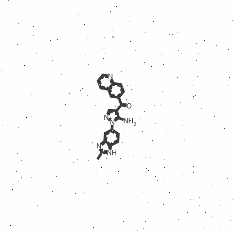 Cc1nc2cc(-n3ncc(C(=O)c4ccc5ncccc5c4)c3N)ccc2[nH]1